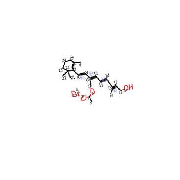 CC(=O)OBr.CC1=C(/C=C/C(C)=C/C=C/C(C)=C/CO)C(C)(C)CCC1